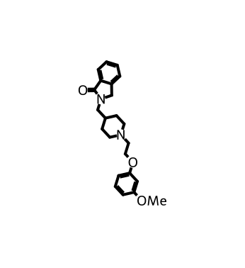 COc1cccc(OCCN2CCC(CN3Cc4ccccc4C3=O)CC2)c1